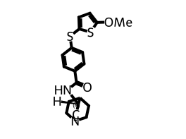 COc1ccc(Sc2ccc(C(=O)N[C@H]3CN4CCC3CC4)cc2)s1